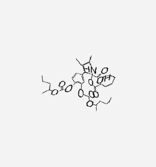 CCCC(C)OC(=O)Oc1ccc(C[C@](NC(C)CC)(OC(=O)C2CCCCC2)C(=O)O)cc1OC(=O)OC(C)CCC